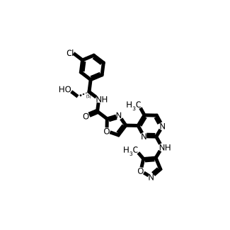 Cc1cnc(Nc2cnoc2C)nc1-c1coc(C(=O)N[C@H](CO)c2cccc(Cl)c2)n1